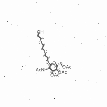 CC(=O)N[C@H]1[C@H](OCCOCCOCCO)O[C@H](COC(C)=O)[C@H](OC(C)=O)[C@@H]1OC(C)=O